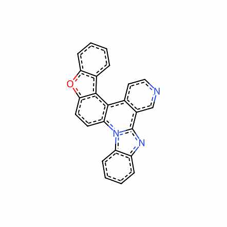 c1ccc2c(c1)nc1c3cnccc3c3c4c(ccc3n21)oc1ccccc14